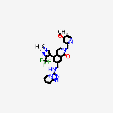 COc1ccnc(CN2CCc3c(cc(CNc4nnc5ccccn45)cc3-c3cn(C)nc3C(F)(F)F)C2=O)c1